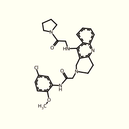 COc1ccc(Cl)cc1NC(=O)CN1CCc2nc3ccccc3c(NCC(=O)N3CCCC3)c2C1